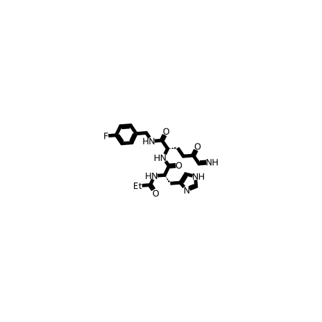 CCC(=O)N[C@@H](Cc1c[nH]cn1)C(=O)N[C@@H](CCC(=O)C=N)C(=O)NCc1ccc(F)cc1